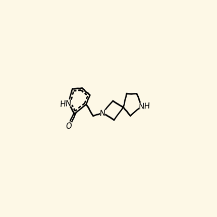 O=c1[nH]cccc1CN1CC2(CCNC2)C1